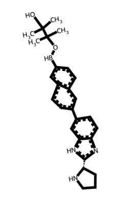 CC(C)(O)C(C)(C)OBc1ccc2cc(-c3ccc4nc([C@@H]5CCCN5)[nH]c4c3)ccc2c1